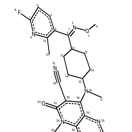 CO/N=C(/c1ccc(F)nc1C)C1CCC(N(C)c2c(C#N)c(=O)n(C)c3ccc(C#N)nc23)CC1